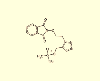 CC(C)(C)[Si](C)(C)OCc1cnnn1CCON1C(=O)c2ccccc2C1=O